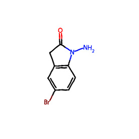 NN1C(=O)Cc2cc(Br)ccc21